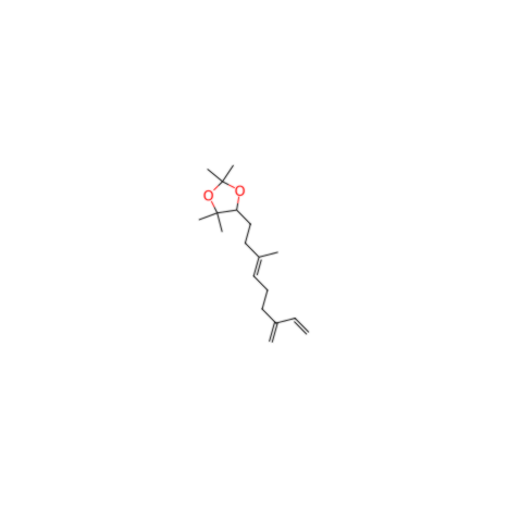 C=CC(=C)CC/C=C(\C)CCC1OC(C)(C)OC1(C)C